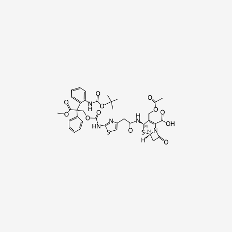 COC(=O)C(COC(=O)Nc1nc(CC(=O)N[C@@H]2S[C@H]3CC(=O)N3C(C(=O)O)=C2COC(C)=O)cs1)(c1ccccc1)c1ccccc1NC(=O)OC(C)(C)C